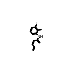 C=C/C=C\C(=C)Nc1cccc(I)c1C